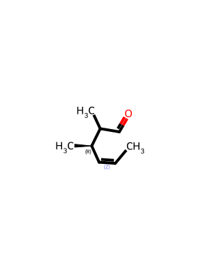 C/C=C\[C@@H](C)C(C)C=O